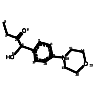 CCC(=O)C(O)c1ccc(N2CCOCC2)cc1